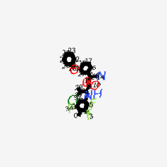 Cc1c(F)c(F)c(NC(C(=O)OC(C#N)c2cccc(Oc3ccccc3)c2)C(C)C)c(Cl)c1F